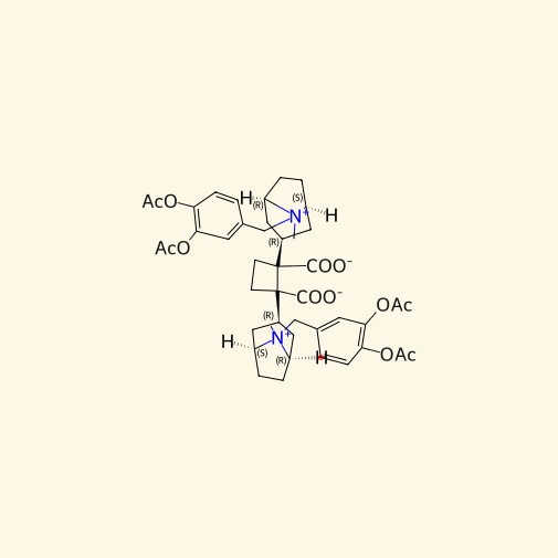 CC(=O)Oc1ccc(C[N+]2(C)[C@@H]3CC[C@H]2C[C@@H](C2(C(=O)[O-])CCC2(C(=O)[O-])[C@H]2C[C@H]4CC[C@@H](C2)[N+]4(C)Cc2ccc(OC(C)=O)c(OC(C)=O)c2)C3)cc1OC(C)=O